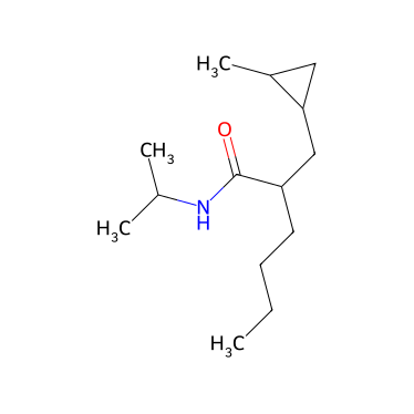 CCCCC(CC1CC1C)C(=O)NC(C)C